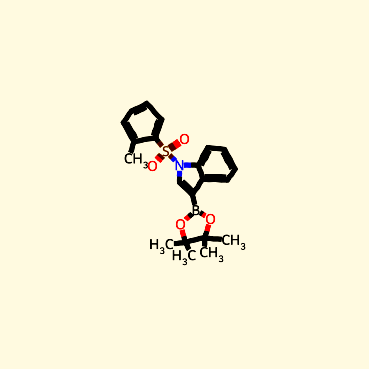 Cc1ccccc1S(=O)(=O)n1cc(B2OC(C)(C)C(C)(C)O2)c2ccccc21